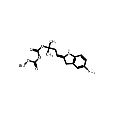 CC(C)(C)OC(=O)OC(=O)OC(C)(C)CC=C1Cc2cc([N+](=O)[O-])ccc2N1